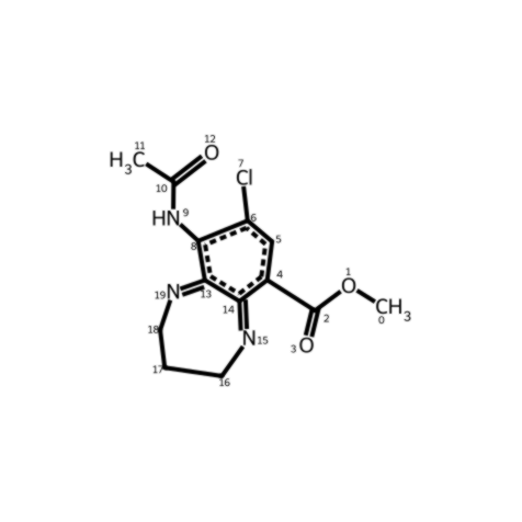 COC(=O)c1cc(Cl)c(NC(C)=O)c2c1=NCCCN=2